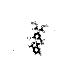 Cc1nnc(N[C@H](C)c2cc(N(C(=O)OC(C)(C)C)C(=O)OC(C)(C)C)cc(C(F)(F)F)n2)c2cc(Br)ccc12